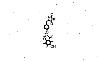 Cc1c(C)c2c(c(C)c1O)C(=O)CC(C)(COc1ccc(CC3SC(=O)NC3=O)cc1)O2